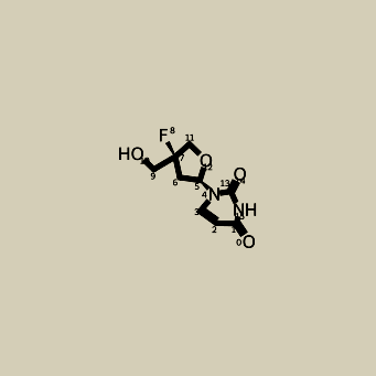 O=c1ccn([C@H]2C[C@](F)(CO)CO2)c(=O)[nH]1